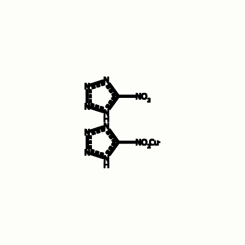 O=[N+]([O-])c1nnn[nH]1.O=[N+]([O-])c1nnn[nH]1.[Cu]